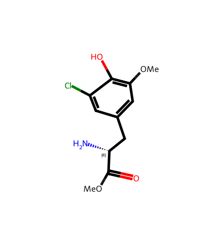 COC(=O)[C@H](N)Cc1cc(Cl)c(O)c(OC)c1